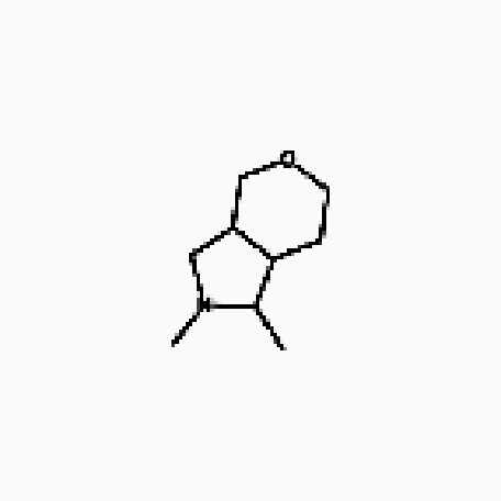 CC1C2CCOCC2CN1C